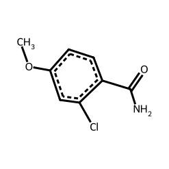 COc1ccc(C(N)=O)c(Cl)c1